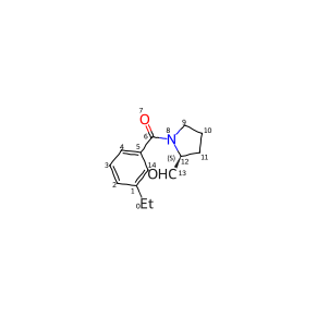 CCc1cccc(C(=O)N2CCC[C@H]2C=O)c1